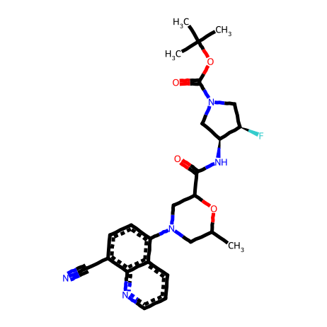 CC1CN(c2ccc(C#N)c3ncccc23)CC(C(=O)N[C@H]2CN(C(=O)OC(C)(C)C)C[C@H]2F)O1